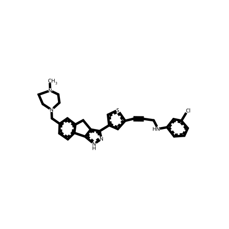 CN1CCN(Cc2ccc3c(c2)Cc2c(-c4csc(C#CCNc5cccc(Cl)c5)c4)n[nH]c2-3)CC1